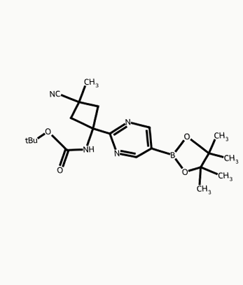 CC1(C#N)CC(NC(=O)OC(C)(C)C)(c2ncc(B3OC(C)(C)C(C)(C)O3)cn2)C1